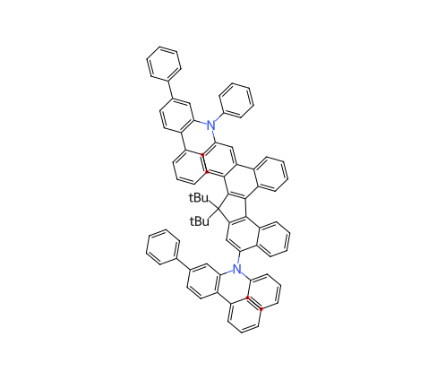 CC(C)(C)C1(C(C)(C)C)c2cc(N(c3ccccc3)c3cc(-c4ccccc4)ccc3-c3ccccc3)c3ccccc3c2-c2c1c1ccc(N(c3ccccc3)c3cc(-c4ccccc4)ccc3-c3ccccc3)cc1c1ccccc21